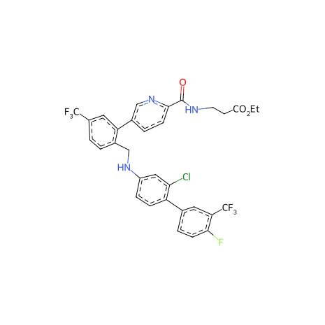 CCOC(=O)CCNC(=O)c1ccc(-c2cc(C(F)(F)F)ccc2CNc2ccc(-c3ccc(F)c(C(F)(F)F)c3)c(Cl)c2)cn1